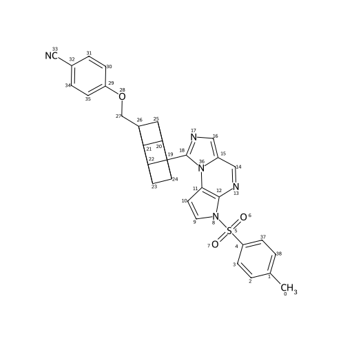 Cc1ccc(S(=O)(=O)n2ccc3c2ncc2cnc(C45C6C7C4C4C5C6C74COc4ccc(C#N)cc4)n23)cc1